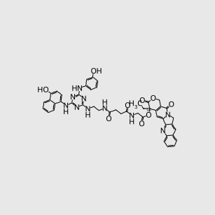 CC[C@@]1(OC(=O)CNC(=O)CCC(=O)NCCNc2nc(Nc3cccc(O)c3)nc(Nc3ccc(O)c4ccccc34)n2)C(=O)OCc2c1cc1n(c2=O)Cc2cc3ccccc3nc2-1